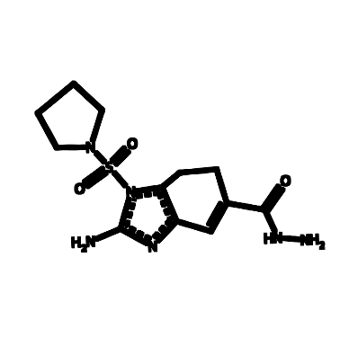 NNC(=O)C1=Cc2nc(N)n(S(=O)(=O)N3CCCC3)c2CC1